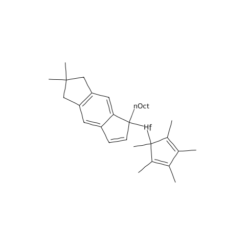 CCCCCCCC[C]1([Hf][C]2(C)C(C)=C(C)C(C)=C2C)C=Cc2cc3c(cc21)CC(C)(C)C3